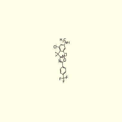 CNc1cc(Cl)c(C2(c3noc(-c4ccc(C(F)(F)F)cc4)n3)CC2)c(Cl)c1